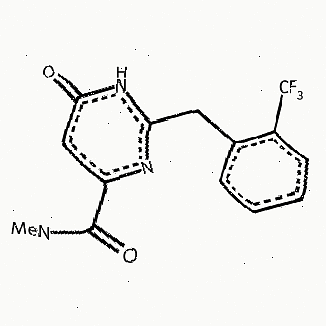 CNC(=O)c1cc(=O)[nH]c(Cc2ccccc2C(F)(F)F)n1